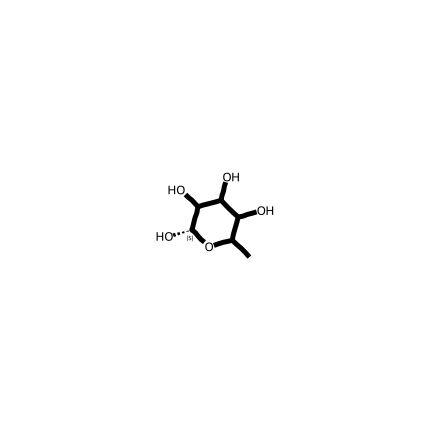 CC1O[C@H](O)C(O)C(O)C1O